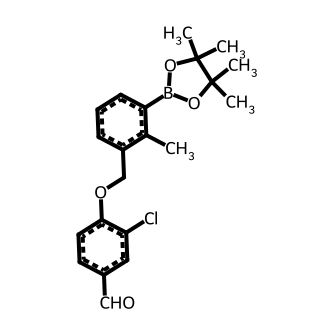 Cc1c(COc2ccc(C=O)cc2Cl)cccc1B1OC(C)(C)C(C)(C)O1